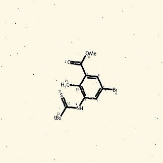 COC(=O)c1cc(Br)cc(NC(=S)C(C)(C)C)c1C